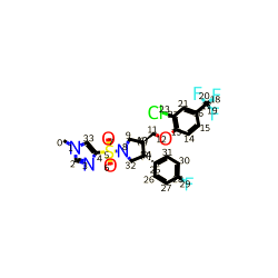 Cn1cnc(S(=O)(=O)N2C[C@@H](COc3ccc(C(F)(F)F)cc3Cl)[C@H](c3ccc(F)cc3)C2)c1